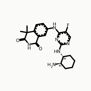 CC1(C)C(=O)NC(=O)c2cc(Nc3nc(N[C@@H]4CCCC[C@H]4N)ncc3F)ccc21